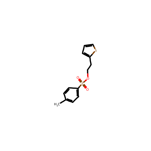 Cc1ccc(S(=O)(=O)OCCc2cccs2)cc1